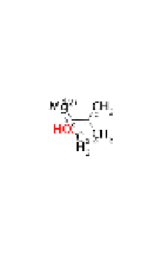 CC(C)[CH2][Mg+2].CO